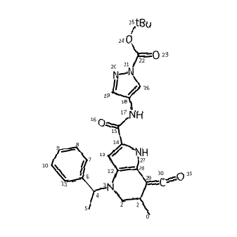 CC1CN(C(C)c2ccccc2)c2cc(C(=O)Nc3cnn(C(=O)OC(C)(C)C)c3)[nH]c2C1=C=O